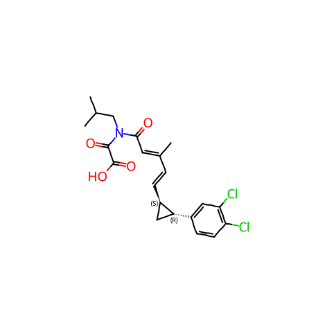 CC(C=C[C@@H]1C[C@H]1c1ccc(Cl)c(Cl)c1)=CC(=O)N(CC(C)C)C(=O)C(=O)O